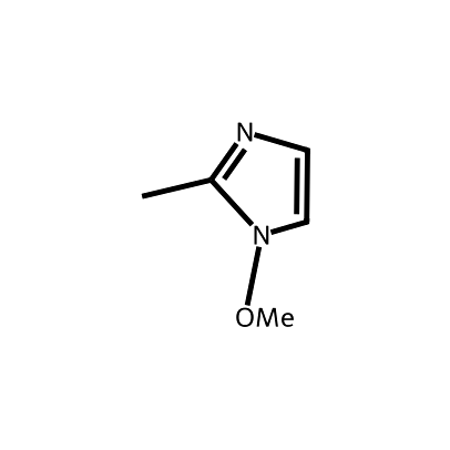 COn1ccnc1C